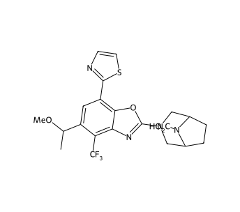 COC(C)c1cc(-c2nccs2)c2oc(N3CC4CCC(C3)N4C(=O)O)nc2c1C(F)(F)F